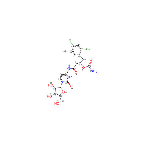 NC(=O)O[C@@H](CC(=O)Nc1ccn(C2OC(CO)C(O)C2O)c(=O)n1)Cc1cc(F)c(F)cc1F